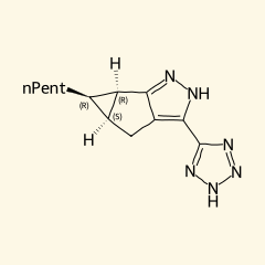 CCCCC[C@@H]1[C@@H]2Cc3c(n[nH]c3-c3nn[nH]n3)[C@H]12